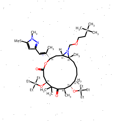 CC[Si](CC)(CC)O[C@H]1[C@@H](C)CCC[C@]2(C)[C@H](C[C@@H](/C(C)=C/c3cc(SC)n(C)n3)OC(=O)C[C@H](O[Si](CC)(CC)CC)C(C)(C)C(=O)[C@@H]1C)N2COCC[Si](C)(C)C